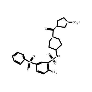 O=C(O)N1CC[C@H](C(=O)N2CCC(NS(=O)(=O)c3cc(S(=O)(=O)c4ccccc4)ccc3C(F)(F)F)CC2)C1